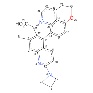 Cc1cc2nc(N3CCC3)ccc2c(-c2ccc3c4c(ccnc24)CCO3)c1CC(=O)O